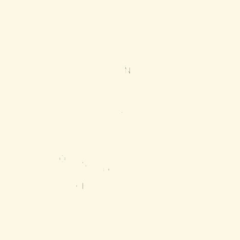 O=S(=O)(c1ccc(CN2CC3CC3C2)cc1)C(F)(F)F